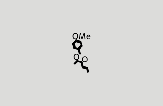 CC=CC(=O)C(C)OCc1ccc(OC)cc1